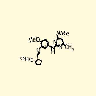 CNc1cc(C)nc(Nc2ccc(OC)c(OC=C[C@H]3CCC[C@@H]3C=O)c2)n1